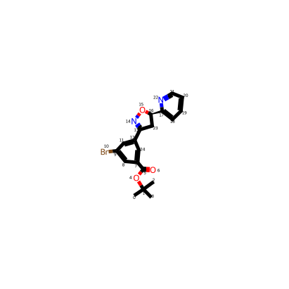 CC(C)(C)OC(=O)c1cc(Br)cc(C2=NO[C@@H](c3ccccn3)C2)c1